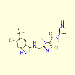 CN(C(=O)c1c(Cl)nc(CNc2c[nH]c3cc(Cl)c(C(C)(C)C)cc23)n1C)C1CCNC1